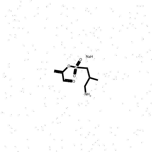 C=C(C=O)OS(=O)(=O)CC(C)CN.[NaH]